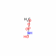 COCCOCCOC(=O)CCNCCO